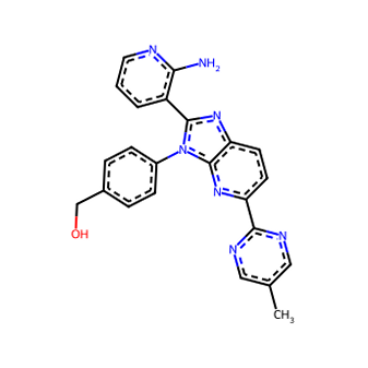 Cc1cnc(-c2ccc3nc(-c4cccnc4N)n(-c4ccc(CO)cc4)c3n2)nc1